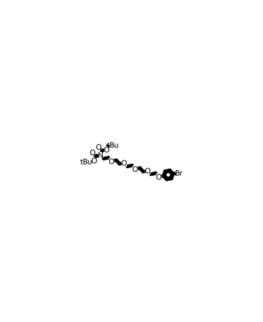 CC(C)(C)OC(=O)N(CCOCCOCCOCCOCCOc1ccc(Br)cc1)C(=O)OC(C)(C)C